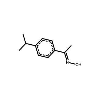 C/C(=N\O)c1ccc(C(C)C)cc1